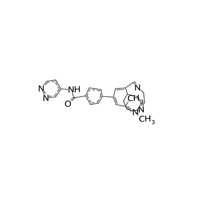 CC1=C\N=C/C/N=C/C(C2CCN(C)CC2)=C/C(c2ccc(C(=O)Nc3ccnnc3)cc2)=C\1